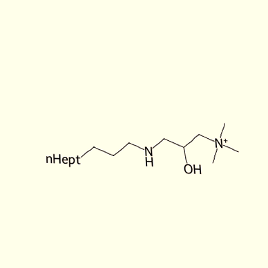 CCCCCCCCCCNCC(O)C[N+](C)(C)C